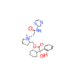 C[N+]1(CC(=O)Nc2cnccn2)CCCC1COC(=O)C(O)(c1ccccc1)C1CCCCC1